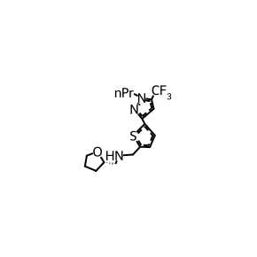 CCCn1nc(-c2ccc(CNC[C@@H]3CCCO3)s2)cc1C(F)(F)F